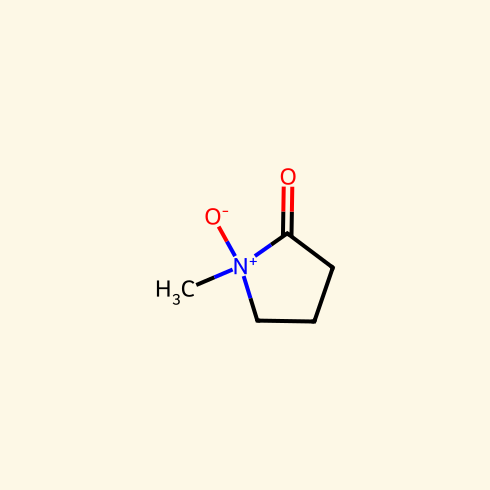 C[N+]1([O-])CCCC1=O